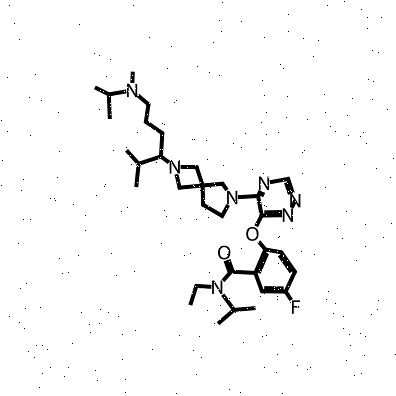 CCN(C(=O)c1cc(F)ccc1Oc1nncnc1N1CCC2(C1)CN(C(CCCN(C)C(C)C)C(C)C)C2)C(C)C